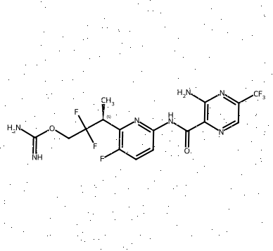 C[C@@H](c1nc(NC(=O)c2ncc(C(F)(F)F)nc2N)ccc1F)C(F)(F)COC(=N)N